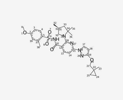 COc1ccc(S(=O)(=O)NC(=O)c2ccc(-n3ccc(OCC4(C)CC4)n3)nc2N2C[C@@H](C)CC2(C)C)c(C)c1